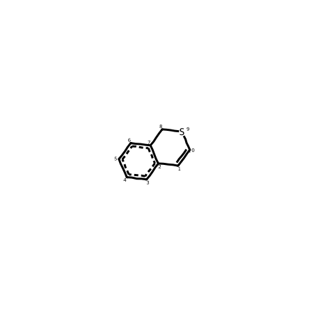 [C]1=Cc2ccccc2CS1